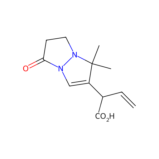 C=CC(C(=O)O)C1=CN2C(=O)CCN2C1(C)C